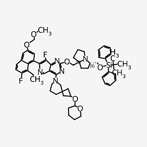 CCc1c(F)ccc2cc(OCOC)cc(-c3ncc4c(N5CCCC6(CC(OC7CCCCO7)C6)C5)nc(OC[C@@]56CCCN5[C@H](CO[Si](c5ccccc5)(c5ccccc5)C(C)(C)C)CC6)nc4c3F)c12